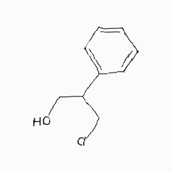 OCC(CCl)c1ccccc1